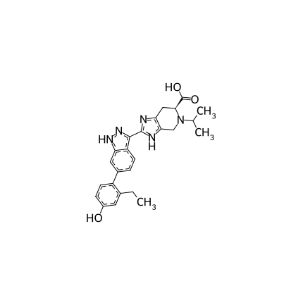 CCc1cc(O)ccc1-c1ccc2c(-c3nc4c([nH]3)CN(C(C)C)[C@H](C(=O)O)C4)n[nH]c2c1